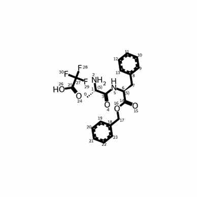 C[C@H](N)C(=O)N[C@@H](Cc1ccccc1)C(=O)OCc1ccccc1.O=C(O)C(F)(F)F